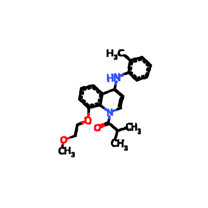 COCCOc1cccc2c1N(C(=O)C(C)C)C=CC2Nc1ccccc1C